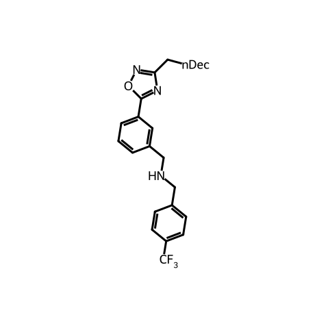 CCCCCCCCCCCc1noc(-c2cccc(CNCc3ccc(C(F)(F)F)cc3)c2)n1